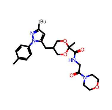 Cc1ccc(-n2nc(C(C)(C)C)cc2CC2COC(C)(C(=O)NCC(=O)N3CCOCC3)OC2)cc1